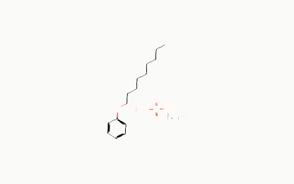 CCCCCCCCCOc1ccccc1.O=S(=O)(O)O.[NaH]